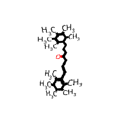 CC1C(C)C(C)C(CCCC(=O)CCCC2C(C)C(C)C(C)C(C)C2C)C(C)C1C